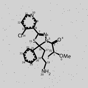 CO[C@@H](C)C(=O)N1N=C(c2cnccc2Cl)SC1(CCCN)c1ccccc1